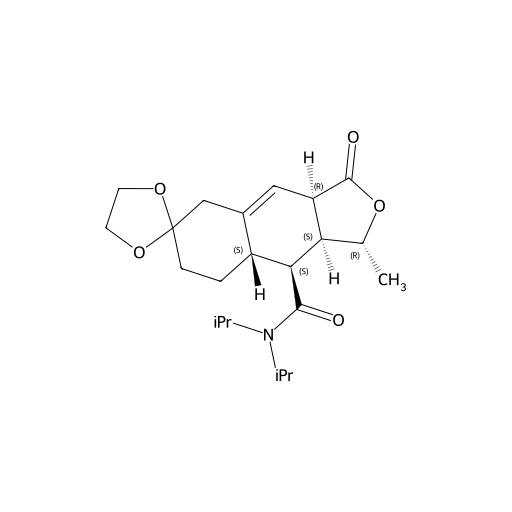 CC(C)N(C(=O)[C@@H]1[C@@H]2[C@@H](C)OC(=O)[C@@H]2C=C2CC3(CC[C@H]21)OCCO3)C(C)C